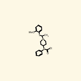 CCC(=O)N(c1ccccc1)C1CCN(C(C)Sc2ccccc2OC)CC1